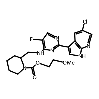 COCCOC(=O)N1CCCCC1CNc1nc(-c2c[nH]c3ncc(Cl)cc23)ncc1F